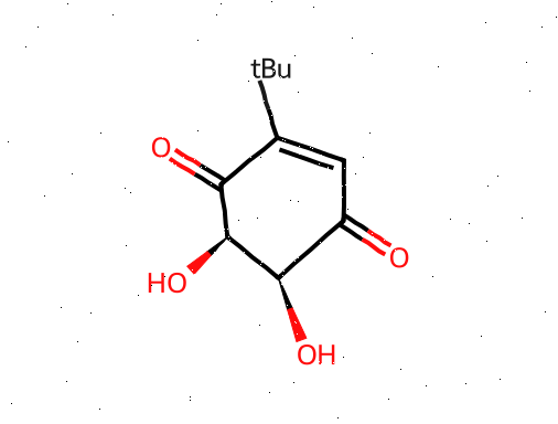 CC(C)(C)C1=CC(=O)[C@@H](O)[C@@H](O)C1=O